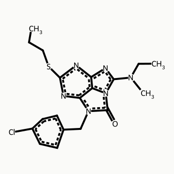 CCCSc1nc2nc(N(C)CC)n3c(=O)n(Cc4ccc(Cl)cc4)c(n1)c23